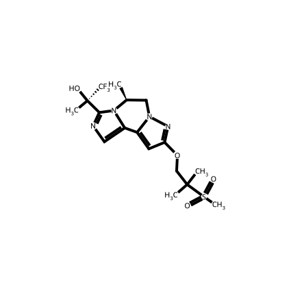 C[C@H]1Cn2nc(OCC(C)(C)S(C)(=O)=O)cc2-c2cnc([C@@](C)(O)C(F)(F)F)n21